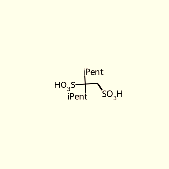 CCCC(C)C(CS(=O)(=O)O)(C(C)CCC)S(=O)(=O)O